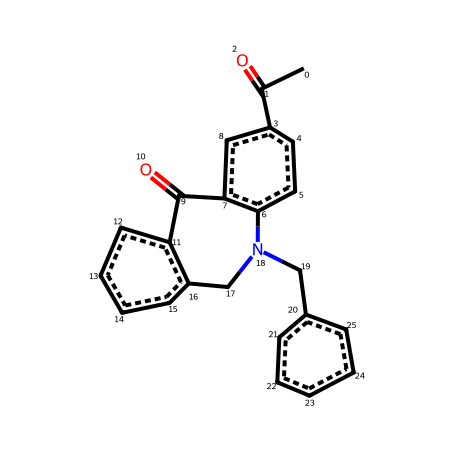 CC(=O)c1ccc2c(c1)C(=O)c1ccccc1CN2Cc1ccccc1